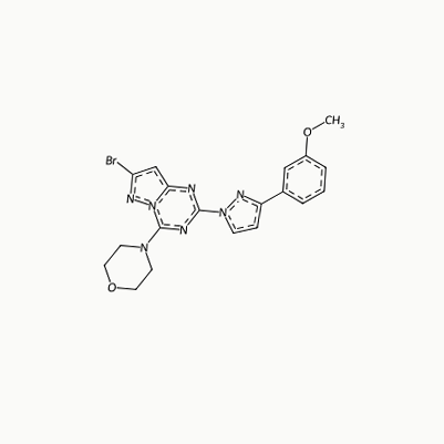 COc1cccc(-c2ccn(-c3nc(N4CCOCC4)n4nc(Br)cc4n3)n2)c1